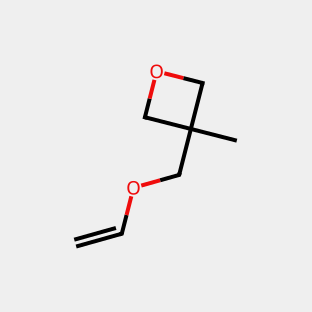 C=COCC1(C)COC1